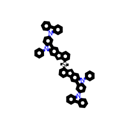 C[Si](C)(c1cccc2c1Cc1cc3c(cc1-2)c1cc(-n2c4ccccc4c4ccccc42)ccc1n3-c1ccccc1)c1cccc2c1Cc1cc3c(cc1-2)c1cc(-n2c4ccccc4c4ccccc42)ccc1n3-c1ccccc1